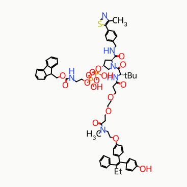 CCC(=C(c1ccc(O)cc1)c1ccc(OCCN(C)C(=O)CCOCCOCCC(=O)N[C@H](C(=O)N2C[C@H](OP(=O)(O)OP(=O)(O)OCCNC(=O)OCC3c4ccccc4-c4ccccc43)C[C@H]2C(=O)NCc2ccc(-c3scnc3C)cc2)C(C)(C)C)cc1)c1ccccc1